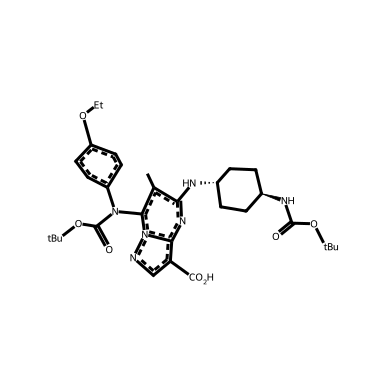 CCOc1ccc(N(C(=O)OC(C)(C)C)c2c(C)c(N[C@H]3CC[C@H](NC(=O)OC(C)(C)C)CC3)nc3c(C(=O)O)cnn23)cc1